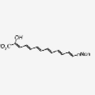 CCCCCCCCCC=CC=CC=CC=CC=CC=C(O)C(=O)O